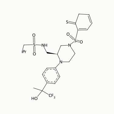 CC(C)CS(=O)(=O)NC[C@H]1CN(S(=O)(=O)C2=CC=CCC2=S)CCN1c1ccc(C(C)(O)C(F)(F)F)cc1